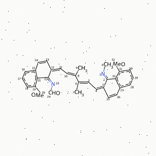 C/N=C1/C(=C\C=C(C)\C(C)=C\C=C2\C=Cc3cccc(OC)c3\C2=N/C=O)C=Cc2cccc(OC)c21